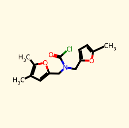 Cc1ccc(CN(Cc2cc(C)c(C)o2)C(=O)Cl)o1